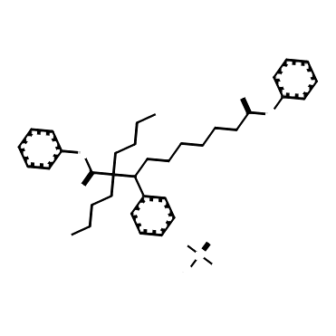 CCCCC(CCCC)(C(=O)Oc1ccccc1)C(CCCCCCC(=O)Oc1ccccc1)c1ccccc1.O=P(O)(O)O